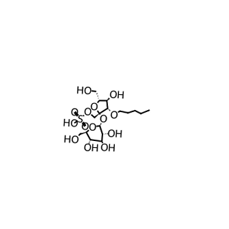 CCCCCO[C@H]1[C@H](O)[C@@H](CO)O[C@@]1(COS(=O)(=O)O)O[C@H]1O[C@H](CO)[C@@H](O)[C@H](O)[C@H]1O